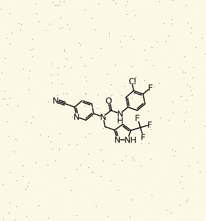 N#Cc1ccc(N(Cc2cc(C(F)(F)F)[nH]n2)C(=O)Nc2ccc(F)c(Cl)c2)cn1